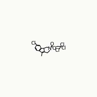 CC1=C2CCN(C(=O)OCC(Cl)(Cl)Cl)CC2c2cc(Cl)ccc21